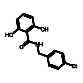 CCc1ccc(CNC(=O)c2c(O)cccc2O)cc1